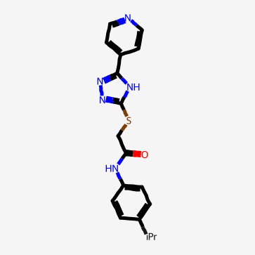 CC(C)c1ccc(NC(=O)CSc2nnc(-c3ccncc3)[nH]2)cc1